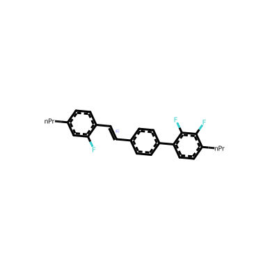 CCCc1ccc(/C=C/c2ccc(-c3ccc(CCC)c(F)c3F)cc2)c(F)c1